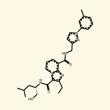 CCc1nc2c(C(=O)NCc3ccn(-c4cccc(C)c4)n3)cccn2c1C(=O)N[C@H](CO)CC(C)C